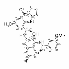 CCN1CCC[C@@H]1C(=O)c1cc(C)cc(C(=O)N[C@@H](Cc2cc(F)cc(F)c2)[C@H](O)CNCc2cccc(OC)c2)c1